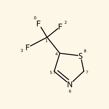 FC(F)(F)C1[C]=NCS1